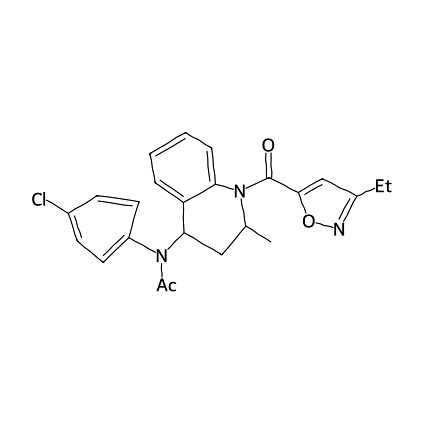 CCc1cc(C(=O)N2c3ccccc3C(N(C(C)=O)c3ccc(Cl)cc3)CC2C)on1